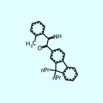 CCCC1(CCC)c2ccccc2-c2ccc(C(=O)C(=N)c3ccccc3C)cc21